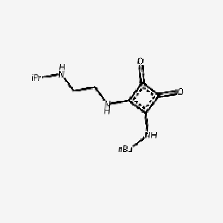 CCCCNc1c(NCCNC(C)C)c(=O)c1=O